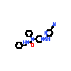 N#Cc1ccc(NN2CCC(N(C(=O)NCc3ccccc3)c3ccccc3)CC2)nc1